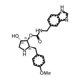 COc1ccc(C[C@H]2NC[C@H](O)[C@H]2OC(=O)NCc2ccc3[nH]cnc3c2)cc1